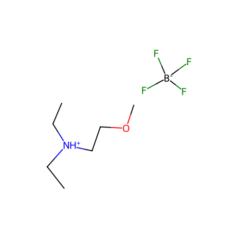 CC[NH+](CC)CCOC.F[B-](F)(F)F